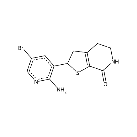 Nc1ncc(Br)cc1C1CC2=C(S1)C(=O)NCC2